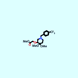 COC(=O)COC1CN(Cc2ccc(C(F)(F)F)cc2)CCC1(OC)OC